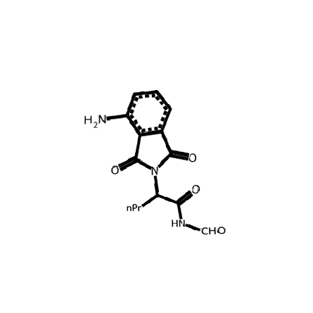 CCCC(C(=O)NC=O)N1C(=O)c2cccc(N)c2C1=O